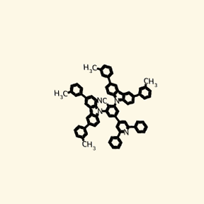 Cc1cccc(-c2ccc3c(c2)c2cc(-c4cccc(C)c4)ccc2n3-c2cc(-c3cc(-c4ccccc4)nc(-c4ccccc4)c3)cc(-n3c4ccc(-c5cccc(C)c5)cc4c4cc(-c5cccc(C)c5)ccc43)c2C#N)c1